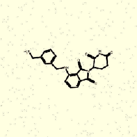 NCc1cccc(CNc2cccc3c2C(=O)N(C2CCC(=O)NC2=O)C3=O)c1